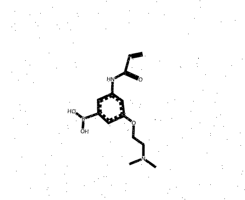 C=CC(=O)Nc1cc(OCCN(C)C)cc(B(O)O)c1